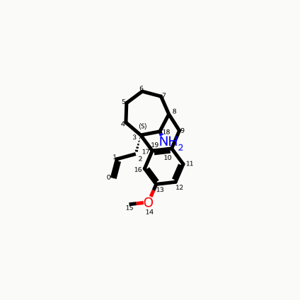 C=CC[C@@]12CCCCC(Cc3ccc(OC)cc31)C2N